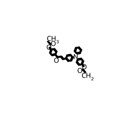 C=CC(=O)Oc1ccc(N(c2ccccc2)c2ccc(C=CC(=O)c3ccc(OC(=O)CC)cc3)cc2)cc1